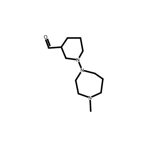 CN1CCCN(N2CCCC([C]=O)C2)CC1